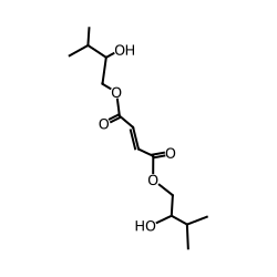 CC(C)C(O)COC(=O)/C=C/C(=O)OCC(O)C(C)C